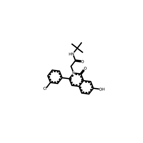 CC(C)(C)NC(=O)Cn1c(-c2cccc(Cl)c2)cc2ccc(O)cc2c1=O